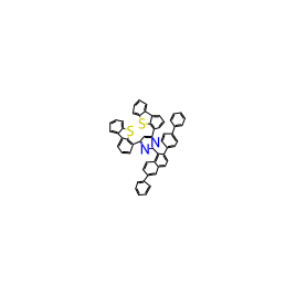 c1ccc(-c2ccc(-c3ccc4cc(-c5ccccc5)ccc4c3-c3nc(-c4cccc5c4sc4ccccc45)cc(-c4cccc5c4sc4ccccc45)n3)cc2)cc1